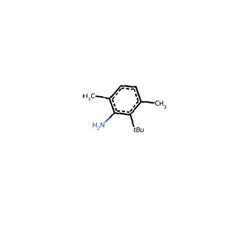 Cc1ccc(C)c(C(C)(C)C)c1N